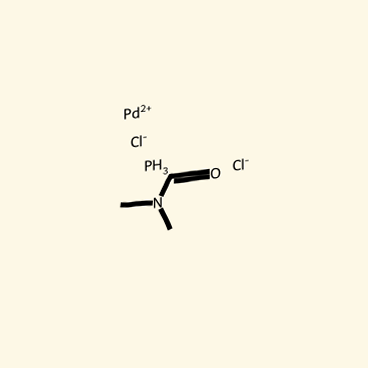 CN(C)C=O.P.[Cl-].[Cl-].[Pd+2]